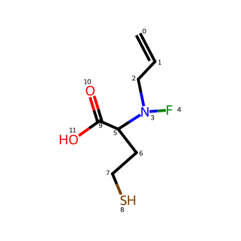 C=CCN(F)C(CCS)C(=O)O